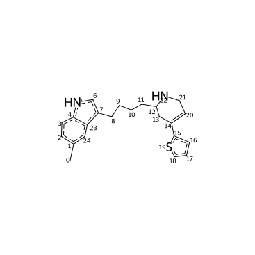 Cc1ccc2[nH]cc(CCCCC3CC(c4cccs4)=CCN3)c2c1